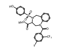 COC(=O)C1CN(C(=O)c2ccc(F)cc2C(F)(F)F)c2ccccc2CN1S(=O)(=O)c1ccc(O)cc1